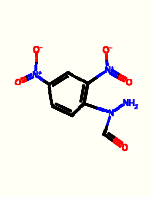 NN(C=O)c1ccc([N+](=O)[O-])cc1[N+](=O)[O-]